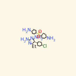 CCc1nc(N)nc(N)c1-c1ccc(Cl)cc1.Nc1ccc(S(=O)(=O)c2ccc(N)cc2)cc1